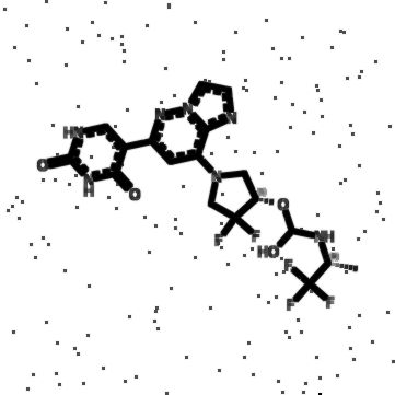 C[C@@H](NC(O)O[C@H]1CN(c2cc(-c3c[nH]c(=O)[nH]c3=O)nn3ccnc23)CC1(F)F)C(F)(F)F